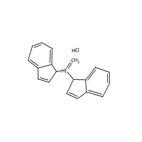 Cl.[CH2]=[Hf]([CH]1C=Cc2ccccc21)[CH]1C=Cc2ccccc21